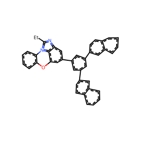 CCc1nc2cc(-c3cc(-c4ccc5ccccc5c4)cc(-c4ccc5ccccc5c4)c3)cc3c2n1-c1ccccc1O3